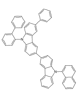 c1ccc(-c2ccc3c(c2)c2cc(-c4ccc5c(c4)c4ccccc4n5-c4cccc5ccccc45)ccc2n3-c2ccccc2-c2ccccc2)cc1